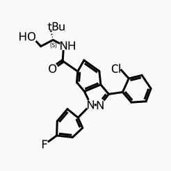 CC(C)(C)[C@@H](CO)NC(=O)c1ccc2c(-c3ccccc3Cl)nn(-c3ccc(F)cc3)c2c1